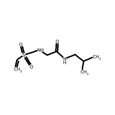 C=CS(=O)(=O)NCC(=O)NCC(C)C